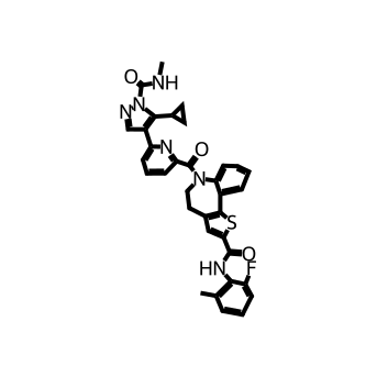 CNC(=O)n1ncc(-c2cccc(C(=O)N3CCc4cc(C(=O)Nc5c(C)cccc5F)sc4-c4ccccc43)n2)c1C1CC1